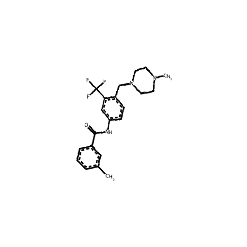 Cc1cccc(C(=O)Nc2ccc(CN3CCN(C)CC3)c(C(F)(F)F)c2)c1